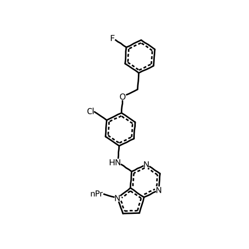 CCCn1ccc2ncnc(Nc3ccc(OCc4cccc(F)c4)c(Cl)c3)c21